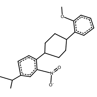 COc1ccccc1C1CCC(c2ccc(C(C)C)cc2[N+](=O)[O-])CC1